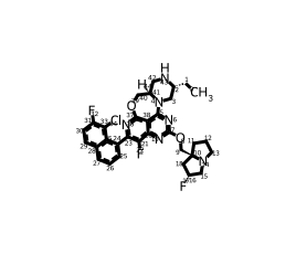 CC[C@@H]1CN2c3nc(OC[C@@]45CCCN4C[C@H](F)C5)nc4c(F)c(-c5cccc6ccc(F)c(Cl)c56)nc(c34)OC[C@H]2CN1